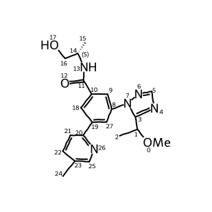 COC(C)c1ncnn1-c1cc(C(=O)N[C@@H](C)CO)cc(-c2ccc(C)cn2)c1